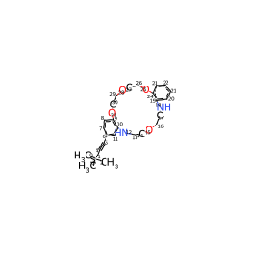 C[Si](C)(C)C#Cc1ccc2c(c1)NCCOCCNc1ccccc1OCCOCCO2